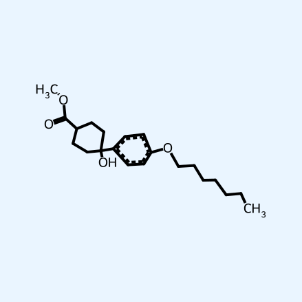 CCCCCCCOc1ccc(C2(O)CCC(C(=O)OC)CC2)cc1